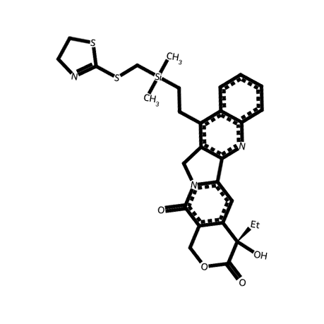 CC[C@@]1(O)C(=O)OCc2c1cc1n(c2=O)Cc2c-1nc1ccccc1c2CC[Si](C)(C)CSC1=NCCS1